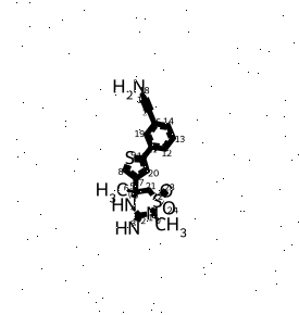 CN1C(=N)N[C@](C)(c2csc(-c3cccc(C#CN)c3)c2)CS1(=O)=O